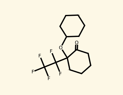 O=C1CCC[CH]C1(OC1CC[CH]CC1)C(F)(F)C(F)(F)F